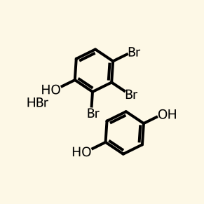 Br.Oc1ccc(Br)c(Br)c1Br.Oc1ccc(O)cc1